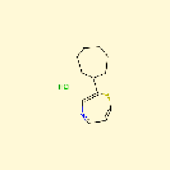 C1=CSC(C2CCCCCC2)=CN=C1.Cl